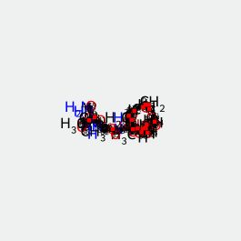 C=C1C[C@@H]2CC[C@@]34C[C@H]5OC6C(O[C@H]7CC[C@H](CC(=O)C[C@@H]8[C@@H](OC)[C@@H](C[C@H](O)CNC(=O)OCc9ccc(CC(=O)[C@H](CCCNC(N)=O)NC(=O)[C@@H](NC(C)=O)C(C)C)cc9)O[C@H]8C[C@H]8O[C@H](CCC8=C)CC[C@@H]1O2)O[C@@H]7[C@@H]6O3)[C@H]5O4